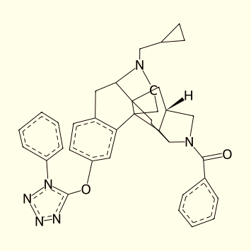 O=C(c1ccccc1)N1C[C@H]2CC34CCC1C2C31CCN(CC2CC2)C4Cc2ccc(Oc3nnnn3-c3ccccc3)cc21